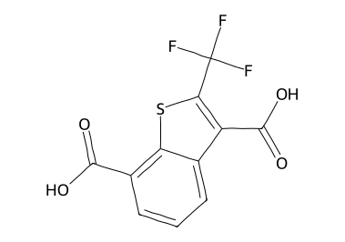 O=C(O)c1c(C(F)(F)F)sc2c(C(=O)O)cccc12